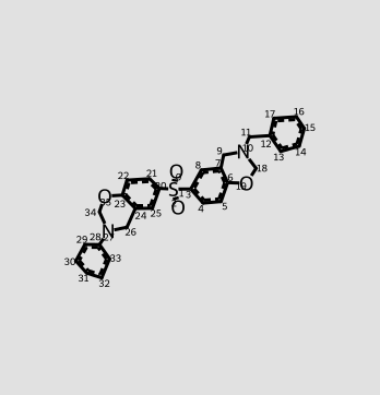 O=S(=O)(c1ccc2c(c1)CN(Cc1ccccc1)CO2)c1ccc2c(c1)CN(c1ccccc1)CO2